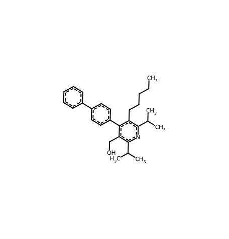 CCCCCc1c(C(C)C)nc(C(C)C)c(CO)c1-c1ccc(-c2ccccc2)cc1